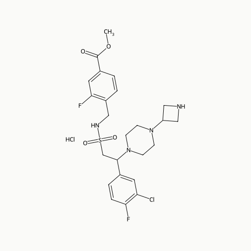 COC(=O)c1ccc(CNS(=O)(=O)CC(c2ccc(F)c(Cl)c2)N2CCN(C3CNC3)CC2)c(F)c1.Cl